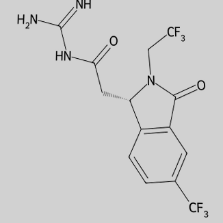 N=C(N)NC(=O)C[C@H]1c2ccc(C(F)(F)F)cc2C(=O)N1CC(F)(F)F